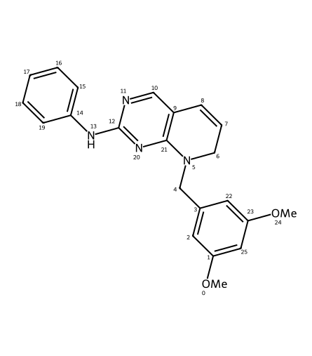 COc1cc(CN2CC=Cc3cnc(Nc4ccccc4)nc32)cc(OC)c1